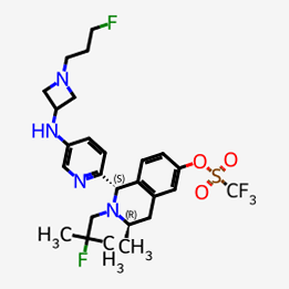 C[C@@H]1Cc2cc(OS(=O)(=O)C(F)(F)F)ccc2[C@@H](c2ccc(NC3CN(CCCF)C3)cn2)N1CC(C)(C)F